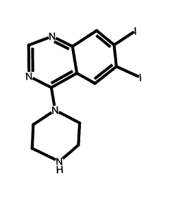 Ic1cc2ncnc(N3CCNCC3)c2cc1I